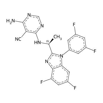 C[C@H](Nc1ncnc(N)c1C#N)c1nc2c(F)cc(F)cc2n1-c1cc(F)cc(F)c1